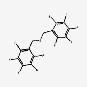 Fc1c(F)c(F)c(CSCc2c(F)c(F)c(F)c(F)c2F)c(F)c1F